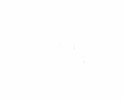 CCCCCc1ccc(-c2ccc(-c3ccc(CCCN(C)SOC)cc3)cc2CC)cc1